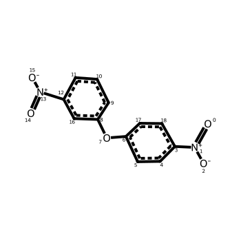 O=[N+]([O-])c1ccc(Oc2cccc([N+](=O)[O-])c2)cc1